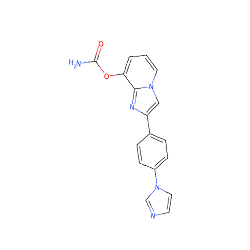 NC(=O)Oc1cccn2cc(-c3ccc(-n4ccnc4)cc3)nc12